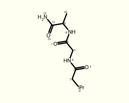 CC(C)CC(=O)NCC(=O)NC(C)C(N)=O